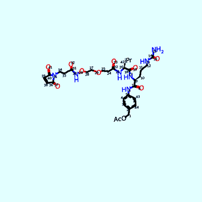 CC(=O)OCc1ccc(NC(=O)[C@H](CCCNC(N)=O)NC(=O)[C@@H](NC(=O)CCOCCONC(=O)CCN2C(=O)C=CC2=O)C(C)C)cc1